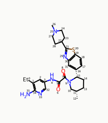 CCc1cc(NC(=O)C(=O)N2C[C@@H](C)CC[C@H]2c2ccc3sc(C4CCN(C)CC4)nc3c2)cnc1N